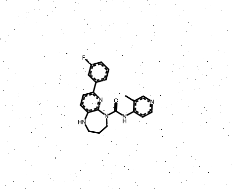 Cc1cnccc1NC(=O)N1CCCNc2ccc(-c3cccc(F)c3)nc21